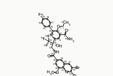 CCOc1c(C(N)=O)cc([C@@](O)(CNC(=O)c2cc(OC)c3nc(Cl)c(Br)cc3c2)C(F)(F)F)nc1-c1ccc(F)cc1